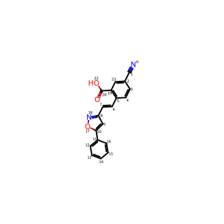 N#Cc1ccc(C=Cc2cc(-c3ccccc3)on2)c(C(=O)O)c1